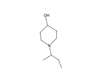 CCC(C)N1CCC(O)CC1